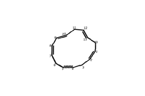 [CH]1/C=C\C/C=C\C/C=C\C=C\C/C=C/1